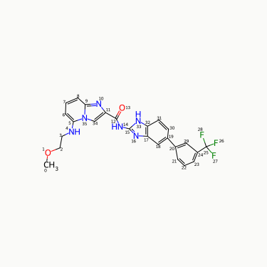 COCCNc1cccc2nc(C(=O)Nc3nc4cc(-c5cccc(C(F)(F)F)c5)ccc4[nH]3)cn12